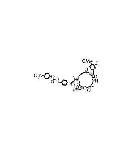 COc1ccc(C[C@H]2NC(=O)C=CC[C@@H]([C@H](C)[C@@H]3O[C@H]3c3ccc(COC(=O)Oc4ccc([N+](=O)[O-])cc4)cc3)OC(=O)[C@H](CC(C)C)OC(=O)C(C)(C)CNC2=O)cc1Cl